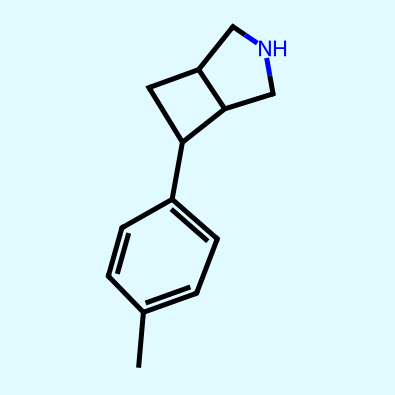 Cc1ccc(C2CC3CNCC32)cc1